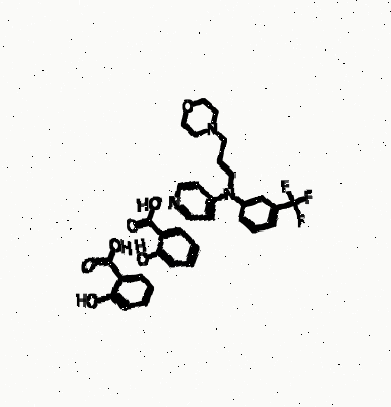 FC(F)(F)c1cccc(N(CCCN2CCOCC2)c2ccncc2)c1.O=C(O)c1ccccc1O.O=C(O)c1ccccc1O